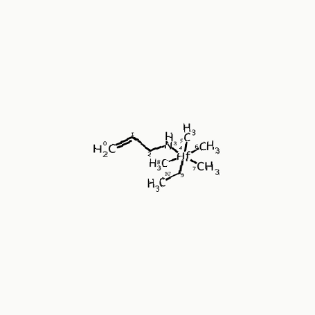 C=CC[NH][Hf]([CH3])([CH3])([CH3])([CH3])[CH2]C